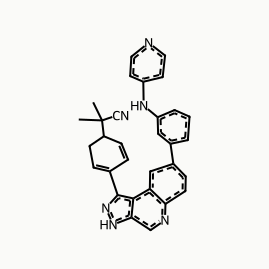 CC(C)(C#N)C1C=CC(c2n[nH]c3cnc4ccc(-c5cccc(Nc6ccncc6)c5)cc4c23)=CC1